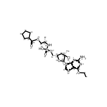 CCOc1nc(N)nc2c1ncn2[C@@H]1O[C@H](COP(=O)(O)N[C@@H](C)COC(=O)C2CCCC2)C[C@@]1(C)Cl